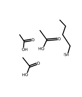 CC(=O)O.CC(=O)O.CC(=O)O.CCC[CH2][Sn]